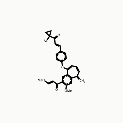 C=C1C=CC=C(Oc2ccc(/C=C/C(=O)C3(C(C)=O)CC3)cc2)c2cc(C(=O)/C=C/OC)c(OC)cc21